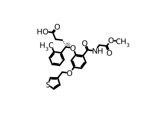 COC(=O)CNC(=O)c1ccc(OCc2ccsc2)cc1O[C@@H](CCC(=O)O)c1ccccc1C